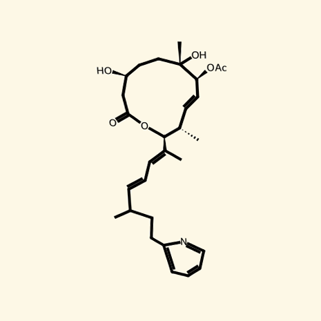 CC(=O)O[C@H]1/C=C/[C@H](C)[C@@H](/C(C)=C/C=C/C(C)CCc2ccccn2)OC(=O)C[C@@H](O)CC[C@]1(C)O